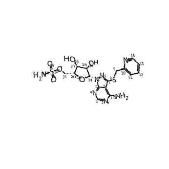 Nc1ncnc2c1c(SCc1ccccn1)nn2[C@@H]1O[C@H](COS(N)(=O)=O)[C@@H](O)[C@H]1O